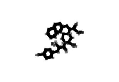 CNC(=O)C(Cc1ccc2ccccc2c1)N1CCN(C(=O)C(N)Cc2ccc(F)cc2)C(C)C1